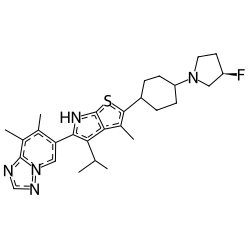 Cc1c(-c2[nH]c3sc(C4CCC(N5CC[C@@H](F)C5)CC4)c(C)c3c2C(C)C)cn2ncnc2c1C